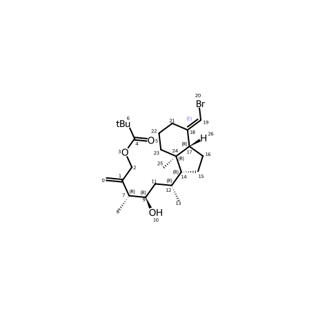 C=C(COC(=O)C(C)(C)C)[C@@H](C)[C@H](O)C[C@@H](C)[C@H]1CC[C@H]2/C(=C/Br)CCC[C@]12C